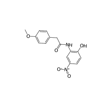 COc1ccc(CC(=O)Nc2cc([N+](=O)[O-])ccc2O)cc1